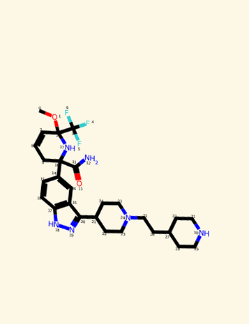 COC1(C(F)(F)F)C=CCC(C(N)=O)(c2ccc3[nH]nc(C4CCN(CCC5CCNCC5)CC4)c3c2)N1